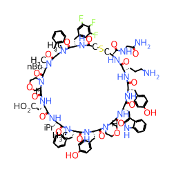 CCCC[C@H]1C(=O)N2CCOC[C@@H]2C(=O)N[C@@H](CC(=O)O)C(=O)N[C@@H](C(C)C)C(=O)N(C)[C@@H](Cc2ccccc2)C(=O)N[C@@H](Cc2ccc(O)cc2)C(=O)N2CCOC[C@@H]2C(=O)N[C@@H](Cc2c[nH]c3ccccc23)C(=O)N[C@@H](Cc2ccc(O)cc2)C(=O)N[C@@H](CCCN)C(=O)N[C@H](C(=O)NCC(N)=O)CSCC(=O)N[C@@H](Cc2cc(F)c(F)c(F)c2)C(=O)N(C)[C@@H](Cc2ccccc2)C(=O)N1C